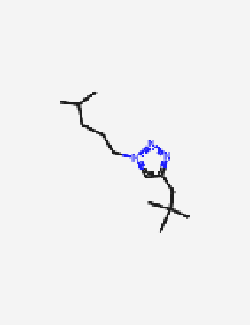 CC(C)CCCn1cc(CC(C)(C)C)nn1